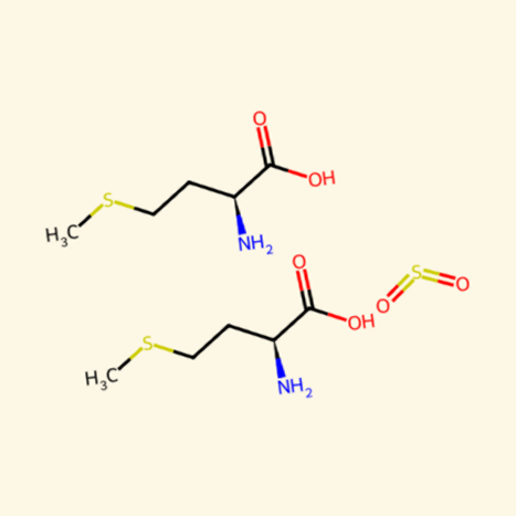 CSCC[C@H](N)C(=O)O.CSCC[C@H](N)C(=O)O.O=S=O